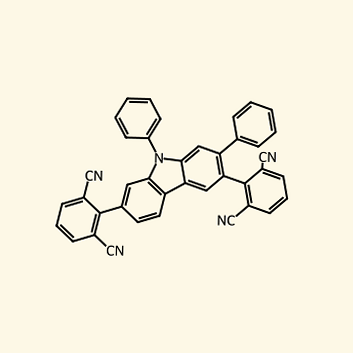 N#Cc1cccc(C#N)c1-c1ccc2c3cc(-c4c(C#N)cccc4C#N)c(-c4ccccc4)cc3n(-c3ccccc3)c2c1